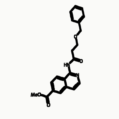 COC(=O)c1ccc2c(NC(=O)CCOCc3ccccc3)nccc2c1